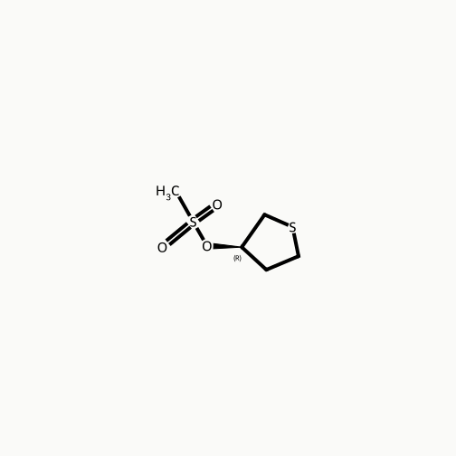 CS(=O)(=O)O[C@@H]1CCSC1